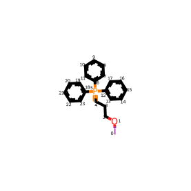 IOCCC[PH](c1ccccc1)(c1ccccc1)c1ccccc1